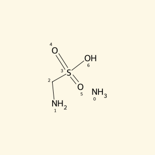 N.NCS(=O)(=O)O